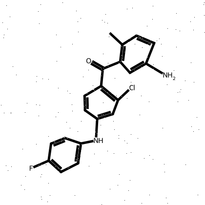 Cc1ccc(N)cc1C(=O)c1ccc(Nc2ccc(F)cc2)cc1Cl